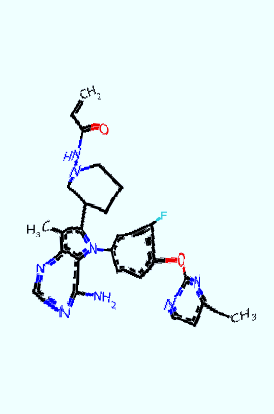 C=CC(=O)NN1CCCC(c2c(C)c3ncnc(N)c3n2-c2ccc(Oc3nccc(C)n3)c(F)c2)C1